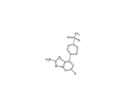 CS(=O)(=O)c1ccc(-c2cc(F)cn3nc(N)nc23)cc1